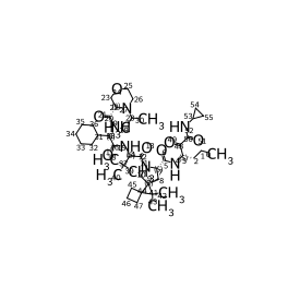 CCC[C@H](NC(=O)[C@@H]1C[C@@]2(CN1C(=O)[C@@H](NC(=O)[C@@H](NC(=O)[C@@H]1COCCN1C(C)C)C1CCCCC1)C(C)(C)C)C(C)(C)C21CCC1)C(=O)C(=O)NC1CC1